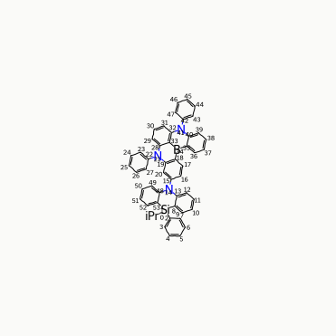 CC(C)[Si]1(c2ccccc2)c2ccccc2N(c2ccc3c(c2)N(c2ccccc2)c2cccc4c2B3c2ccccc2N4c2ccccc2)c2ccccc21